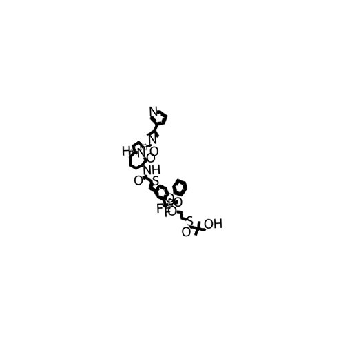 CC(C)(CO)C(=O)SCCOP(=O)(Oc1ccccc1)C(F)(F)c1ccc2sc(C(=O)NC3CCC[C@H]4CC[C@@H](C(=O)N5CC(c6cccnc6)C5)N4C3=O)cc2c1